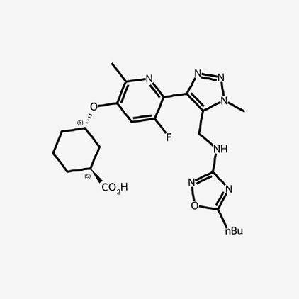 CCCCc1nc(NCc2c(-c3nc(C)c(O[C@H]4CCC[C@H](C(=O)O)C4)cc3F)nnn2C)no1